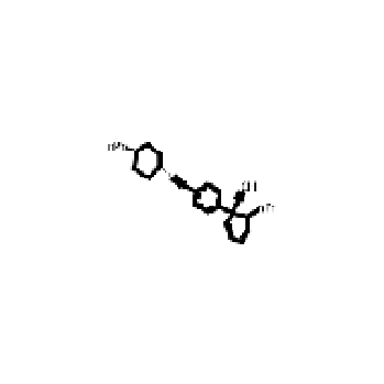 C#CC1(c2ccc(C#C[C@H]3CC[C@H](CCC)CC3)cc2)C=CC=CC1CCC